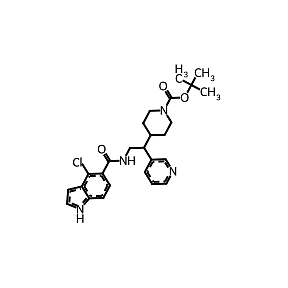 CC(C)(C)OC(=O)N1CCC(C(CNC(=O)c2ccc3[nH]ccc3c2Cl)c2cccnc2)CC1